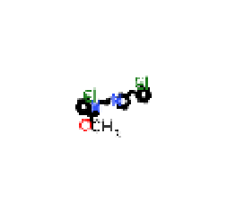 CC(=O)c1cn(CCCN2CCCC(Cc3ccccc3Cl)C2)c2c(Cl)cccc12